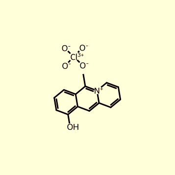 Cc1c2cccc(O)c2cc2cccc[n+]12.[O-][Cl+3]([O-])([O-])[O-]